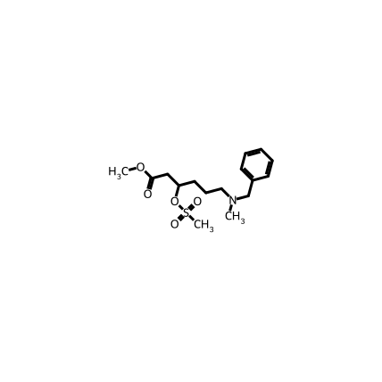 COC(=O)CC(CCCN(C)Cc1ccccc1)OS(C)(=O)=O